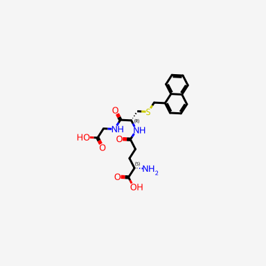 N[C@@H](CCC(=O)N[C@@H](CSCc1cccc2ccccc12)C(=O)NCC(=O)O)C(=O)O